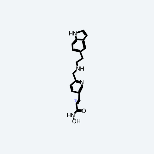 O=C(/C=C/c1ccc(CNCCc2ccc3[nH]ccc3c2)nc1)NO